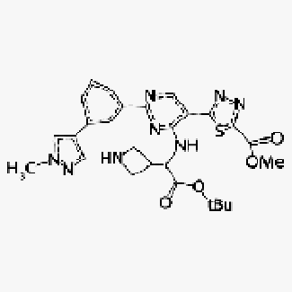 COC(=O)c1nnc(-c2cnc(-c3cccc(-c4cnn(C)c4)c3)nc2NC(C(=O)OC(C)(C)C)C2CNC2)s1